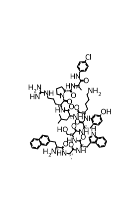 CC(C)C[C@H](NC(=O)[C@@H](CCCCN)NC(=O)[C@H](Cc1ccc(O)cc1)NC(=O)[C@H](CO)NC(=O)[C@@H](Cc1c[nH]c2ccccc12)NC(=O)[C@H](C)NC(=O)[C@@H](N)Cc1ccc2ccccc2c1)C(=O)N[C@@H](CCCNC(=N)N)C(=O)N1CCC[C@H]1C(=O)N[C@H](C)C(=O)Nc1ccc(Cl)cc1